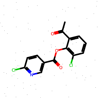 CC(=O)c1cccc(Cl)c1OC(=O)c1ccc(Cl)nc1